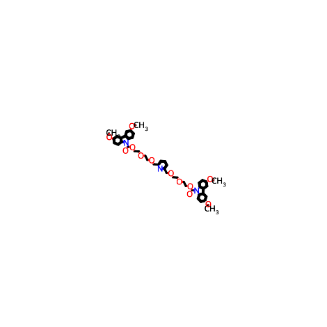 COc1ccc2c(c1)c1cc(OC)ccc1n2C(=O)OCCOCCOCc1cccc(COCCOCCOC(=O)n2c3ccc(OC)cc3c3cc(OC)ccc32)n1